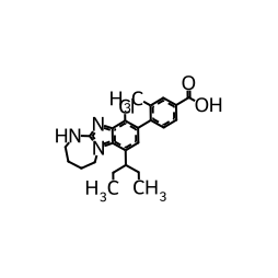 CCC(CC)c1cc(-c2ccc(C(=O)O)cc2C)c(Cl)c2nc3n(c12)CCCCN3